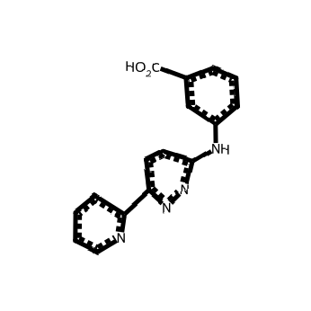 O=C(O)c1cccc(Nc2ccc(-c3ccccn3)nn2)c1